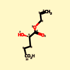 C=CCOC(=O)[C@@H](O)CCC(=O)O